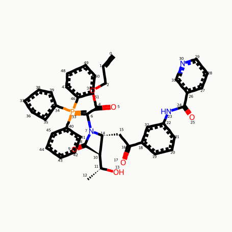 C=CCOC(=O)C(N1C(=O)[C@H]([C@@H](C)O)[C@H]1CC(=O)c1cccc(NC(=O)c2cccnc2)c1)=P(c1ccccc1)(c1ccccc1)c1ccccc1